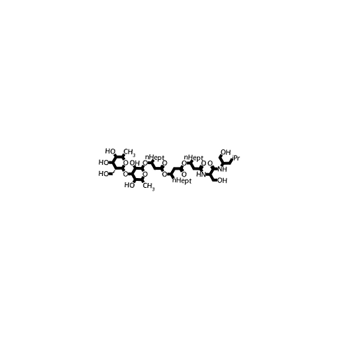 CCCCCCCC(CC(=O)NC(CO)C(=O)NC(CO)CC(C)C)OC(=O)CC(CCCCCCC)OC(=O)CC(CCCCCCC)OC1OC(C)C(O)C(OC2OC(C)C(O)C(O)[C@H]2CO)C1O